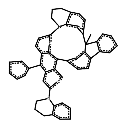 CC12c3ccc4c(c3)N(CCC4)c3ccc4c(-c5ccccc5)c5cc(N6CCCc7ccccc76)ccc5c(c4c3)-c3ccc(c1c3)-c1ccccc12